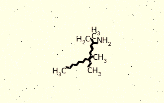 C=C(C)C(C=CC/C(C)=C(/CCC)CCCCCCCC)CN